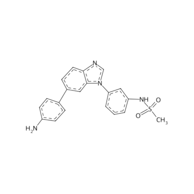 CS(=O)(=O)Nc1cccc(-n2cnc3ccc(-c4ccc(N)cc4)cc32)c1